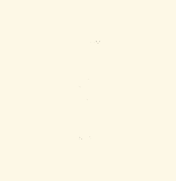 COCCOc1ccc(-c2ccc(CC(C)NC(C)=O)cc2)cc1